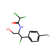 O=C(NC(CO)C(F)c1ccc([N+](=O)[O-])cc1)C(Cl)Cl